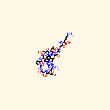 CSCC[C@H](NC(=O)CN)C(=O)N[C@@H](CS)C(=O)NCC(=O)N1CCC[C@H]1C(=O)N[C@@H](CCCNC(=N)N)C(=O)N[C@@H](CS)C(=O)N[C@@H](CC(C)C)C(=O)N[C@@H](Cc1c[nH]c2ccccc12)C(=O)NCC(=O)NCC(=O)N[C@@H](CCCCN)C(=O)O